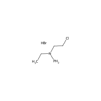 Br.CCN(P)CCCl